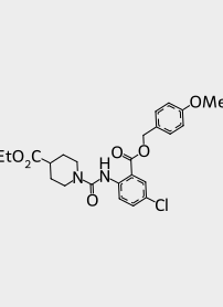 CCOC(=O)C1CCN(C(=O)Nc2ccc(Cl)cc2C(=O)OCc2ccc(OC)cc2)CC1